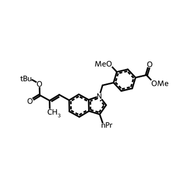 CCCc1cn(Cc2ccc(C(=O)OC)cc2OC)c2cc(/C=C(\C)C(=O)OC(C)(C)C)ccc12